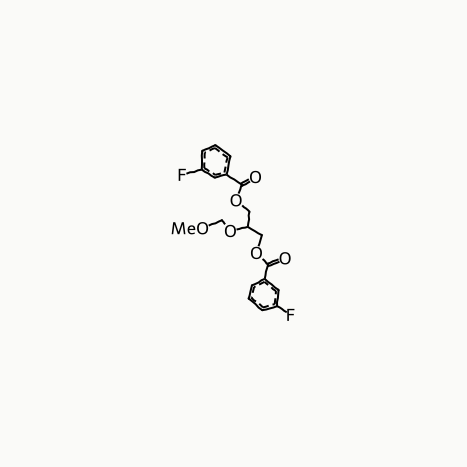 COCOC(COC(=O)c1cccc(F)c1)COC(=O)c1cccc(F)c1